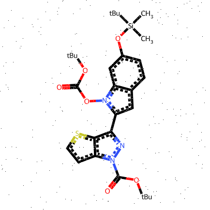 CC(C)(C)OC(=O)On1c(-c2nn(C(=O)OC(C)(C)C)c3ccsc23)cc2ccc(O[Si](C)(C)C(C)(C)C)cc21